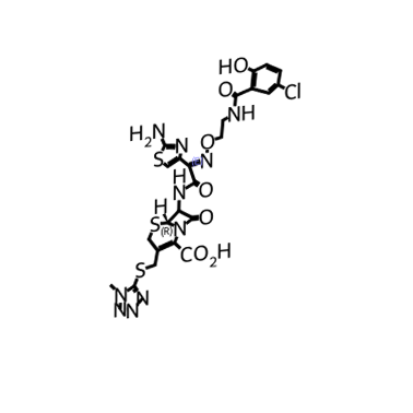 Cn1nnnc1SCC1=C(C(=O)O)N2C(=O)C(NC(=O)/C(=N/OCCNC(=O)c3cc(Cl)ccc3O)c3csc(N)n3)[C@H]2SC1